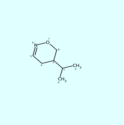 CC(C)C1CC=NOC1